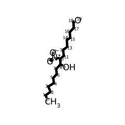 CCCCCCCCC(O)C(CCCCCCCC=O)[N+](=O)[O-]